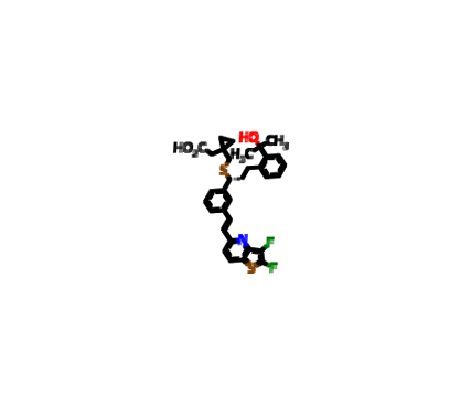 CC(C)(O)c1ccccc1CC[C@@H](SCC1(CC(=O)O)CC1)c1cccc(C=Cc2ccc3sc(F)c(F)c3n2)c1